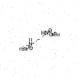 CCCCOC(=O)NCCCCCCCCCNC(=O)OCCCC